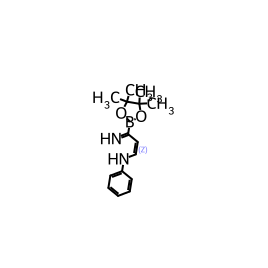 CC1(C)OB(C(=N)/C=C\Nc2ccccc2)OC1(C)C